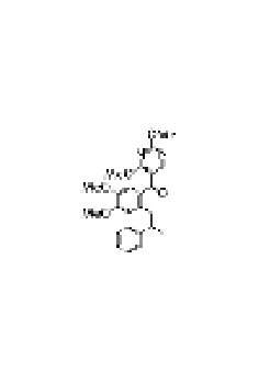 COc1ncc(C(=O)c2cc(OC)c(OC)cc2CC(C)c2ccccc2)c(OC)n1